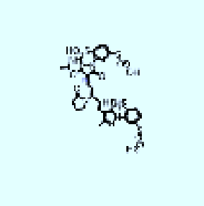 Cc1nn(-c2cc(SOOO)ccc2S(=O)(=O)O)c(O)c1C=CC(=C/C=C1\C(=O)N(c2cc(SOOO)ccc2S(=O)(=O)O)N=C1OC(C)N)N1CCCC1=O